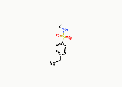 CCNS(=O)(=O)c1ccc([CH2][Hg])cc1